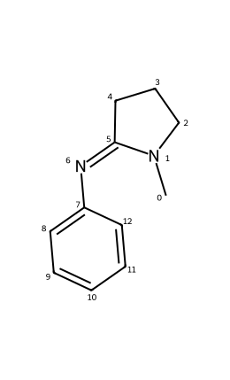 CN1CCCC1=Nc1ccccc1